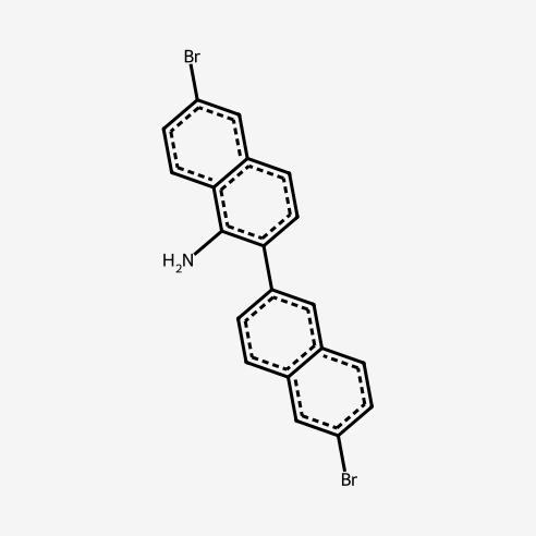 Nc1c(-c2ccc3cc(Br)ccc3c2)ccc2cc(Br)ccc12